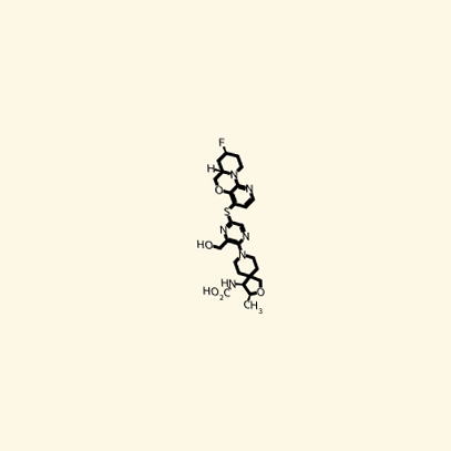 C[C@@H]1OCC2(CCN(c3ncc(Sc4ccnc5c4OC[C@@H]4C[C@@H](F)CCN54)nc3CO)CC2)[C@@H]1NC(=O)O